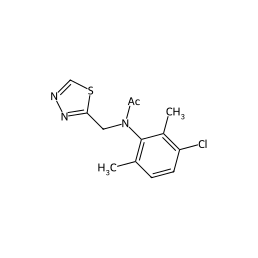 CC(=O)N(Cc1nncs1)c1c(C)ccc(Cl)c1C